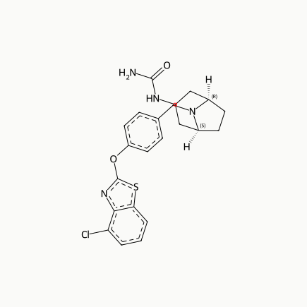 NC(=O)NC1C[C@H]2CC[C@@H](C1)N2Cc1ccc(Oc2nc3c(Cl)cccc3s2)cc1